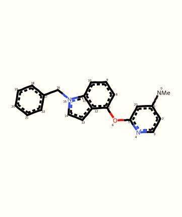 CNc1ccnc(Oc2cccc3c2ccn3Cc2ccccc2)c1